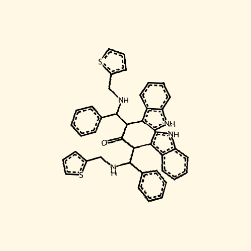 O=C(C(c1c[nH]c2ccccc12)C(NCc1cccs1)c1ccccc1)C(c1c[nH]c2ccccc12)C(NCc1cccs1)c1ccccc1